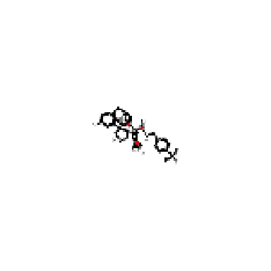 C=CCN(C(=O)NCc1ccc(C(F)(F)F)cc1)C1CC2CCC(C1)N2C[C@@]1(C(=O)C2CC2)CNC[C@@]1(O)c1cccc(F)c1